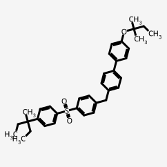 CCC(C)(C)Oc1ccc(-c2ccc(Cc3ccc(S(=O)(=O)c4ccc(C(C)(CC)CC)cc4)cc3)cc2)cc1